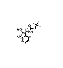 CC(C)(C)OC(=O)N[C@@](C)(CO)c1ccccc1Cl